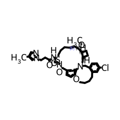 CO[C@H]1/C=C/CCCS(=O)(NC(=O)CCn2cc(C)cn2)=NC(=O)c2ccc3c(c2)N(Cc2ccc(Cl)cc2CCCCO3)C[C@@H]2CC[C@H]21